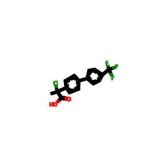 CC(Cl)(C(=O)O)c1ccc(-c2ccc(C(F)(F)F)cc2)cc1